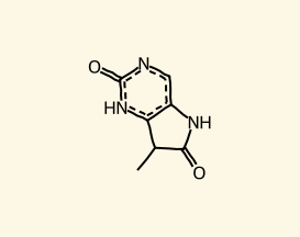 CC1C(=O)Nc2cnc(=O)[nH]c21